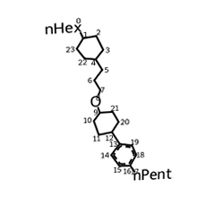 CCCCCCC1CCC(CCCOC2CCC(c3ccc(CCCCC)cc3)CC2)CC1